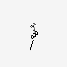 CCCCCC/C=C/C1CCC2Cc3c(cccc3OCC(=O)O)CC12